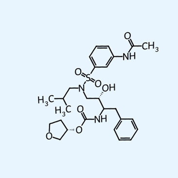 CC(=O)Nc1cccc(S(=O)(=O)N(CC(C)C)C[C@H](O)C(Cc2ccccc2)NC(=O)O[C@H]2CCOC2)c1